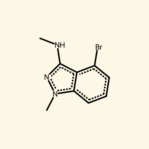 CNc1nn(C)c2cccc(Br)c12